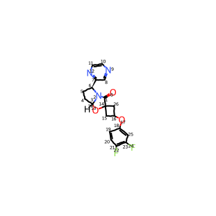 O=C1N2[C@@H](CC[C@H]2c2cnccn2)OC12CC(Oc1ccc(F)c(F)c1)C2